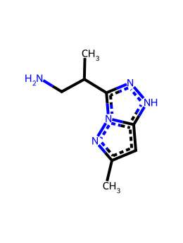 Cc1cc2[nH]nc(C(C)CN)n2n1